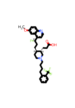 COc1ccc2nccc([C@H](F)CC[C@@H]3CCN(CCCCc4ccccc4C(F)(F)F)C[C@H]3CCC(=O)O)c2c1